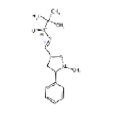 CN1N=C(/C=N/[S@@+]([O-])C(C)(C)C)CC1c1ccccc1